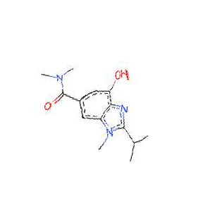 CC(C)c1nc2c(O)cc(C(=O)N(C)C)cc2n1C